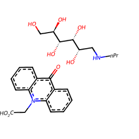 CCCNC[C@H](O)[C@@H](O)[C@H](O)[C@H](O)CO.O=C(O)Cn1c2ccccc2c(=O)c2ccccc21